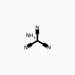 N.N#CC(C#N)C#N